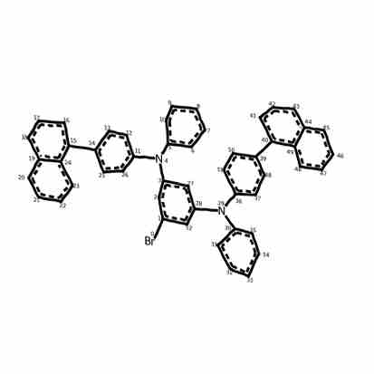 Brc1cc(N(c2ccccc2)c2ccc(-c3cccc4ccccc34)cc2)cc(N(c2ccccc2)c2ccc(-c3cccc4ccccc34)cc2)c1